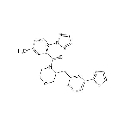 Cc1ccc(-n2nccn2)c(C(=O)N2CCOCC2Cc2cccc(-c3cccs3)c2)c1